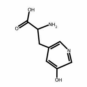 NC(Cc1cncc(O)c1)C(=O)O